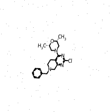 C[C@@H]1CN(c2nc(Cl)nc3c2CCN(Cc2ccccc2)C3)C[C@H](C)O1